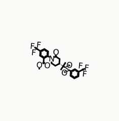 COC(=O)c1cc(C(F)(F)F)ccc1N1CC[C@@H](C(C)(C)S(=O)(=O)c2cccc(C(F)(F)F)c2)CC1=O